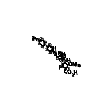 COc1cc(C(=O)O)c(F)cc1NS(=O)(=O)C(=N)/C=C\Nc1ccc([C@H]2CC[C@H](C(C)C)CC2)cc1